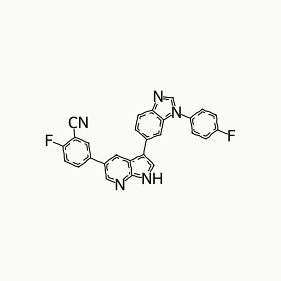 N#Cc1cc(-c2cnc3[nH]cc(-c4ccc5ncn(-c6ccc(F)cc6)c5c4)c3c2)ccc1F